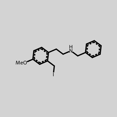 COc1ccc(CCNCc2ccccc2)c(CI)c1